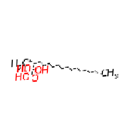 C=CC(CCCCCCCCCCCCCCC)C(O)(O)C(=O)O